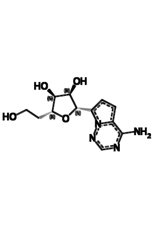 Nc1ncnn2c([C@@H]3O[C@H](CCO)[C@@H](O)[C@H]3O)ccc12